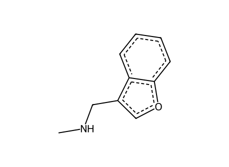 CNCc1coc2ccccc12